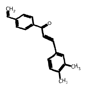 C=Cc1ccc(C(=O)C=Cc2ccc(C)c(C)c2)cc1